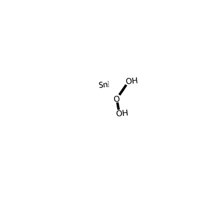 OOO.[Sn]